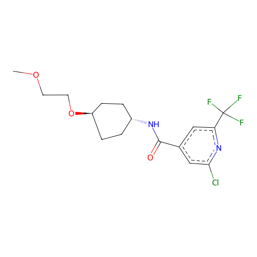 COCCO[C@H]1CC[C@H](NC(=O)c2cc(Cl)nc(C(F)(F)F)c2)CC1